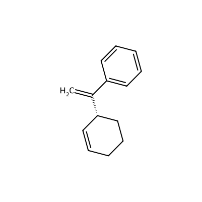 C=C(c1ccccc1)[C@H]1C=CCCC1